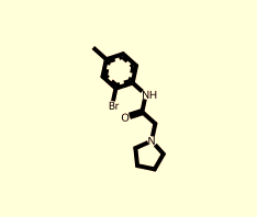 Cc1ccc(NC(=O)CN2CCCC2)c(Br)c1